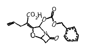 C=CCC(C(=O)O)=C1OC2CC(=O)N2C1OC(=O)OCc1ccccc1